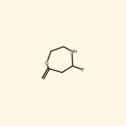 C=C1CC(F)NCCO1